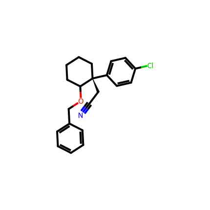 N#CC[C@]1(c2ccc(Cl)cc2)CCCCC1OCc1ccccc1